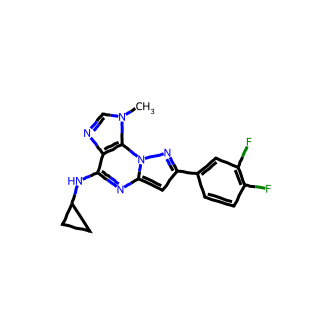 Cn1cnc2c(NC3CC3)nc3cc(-c4ccc(F)c(F)c4)nn3c21